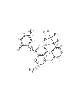 O[C@H](CN(Cc1cccc(C(F)(F)C(F)(F)C(F)(F)F)c1)c1cccc(Oc2cc(Br)ccc2F)c1)C(F)(F)F